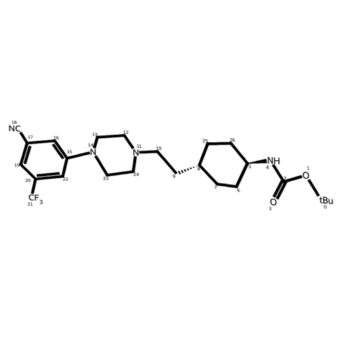 CC(C)(C)OC(=O)N[C@H]1CC[C@H](CCN2CCN(c3cc(C#N)cc(C(F)(F)F)c3)CC2)CC1